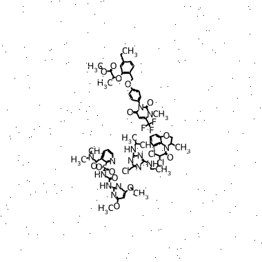 CC1COc2ccccc2N1C(=O)C(Cl)Cl.CCNc1nc(Cl)nc(NC(C)C)n1.CCc1ccc(COc2ccc(-n3c(=O)cc(C(F)(F)F)n(C)c3=O)cc2)c(OC(C)C(=O)OC)c1.COc1cc(OC)nc(NC(=O)NS(=O)(=O)c2ncccc2C(=O)N(C)C)n1